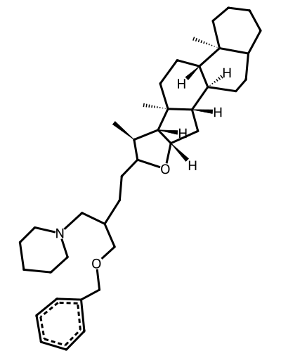 C[C@@H]1C(CCC(COCc2ccccc2)CN2CCCCC2)O[C@H]2C[C@H]3[C@@H]4CCC5CCCC[C@]5(C)[C@H]4CC[C@]3(C)[C@H]21